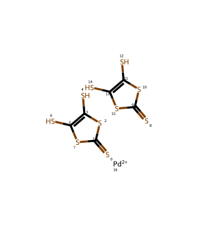 S=c1sc(S)c(S)s1.S=c1sc(S)c(S)s1.[Pd+2]